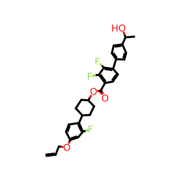 C=CCOc1ccc(C2CCC(OC(=O)c3ccc(-c4ccc(C(C)O)cc4)c(F)c3F)CC2)c(F)c1